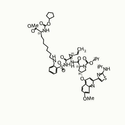 C=C[C@@H]1C[C@]1(NC(=O)[C@@H]1C[C@@H](Oc2cc(-c3csc(NC(C)C)n3)nc3cc(OC)ccc23)CN1C(=O)OC(C)C)C(=O)NS(=O)(=O)c1ccccc1NCCCCCCC[C@H](NC(=O)OC1CCCC1)C(=O)OC